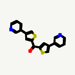 O=C(c1cc(-c2cccnc2)cs1)c1cc(-c2cccnc2)cs1